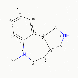 CN1CCC2CNCC2c2ccccc21